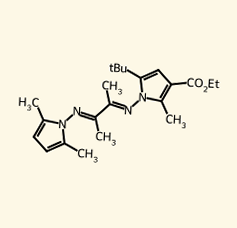 CCOC(=O)c1cc(C(C)(C)C)n(/N=C(C)/C(C)=N/n2c(C)ccc2C)c1C